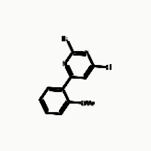 CCc1nc(Cl)cc(-c2ccccc2OC)n1